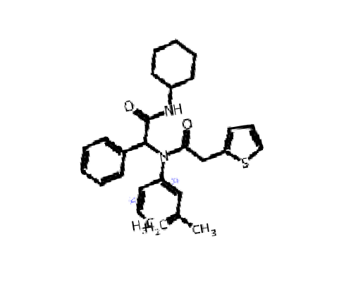 C=C(C)/C=C(\C=C/C)N(C(=O)Cc1cccs1)C(C(=O)NC1CCCCC1)c1ccccc1